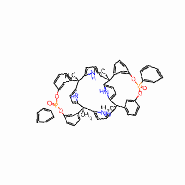 C[C@]12c3cccc(c3)OP(=O)(c3ccccc3)Oc3cccc(c3)[C@](C)(c3ccc1[nH]3)c1ccc([nH]1)[C@@]1(C)c3cccc(c3)O[P@](=O)(c3ccccc3)Oc3cccc(c3)[C@@](C)(c3ccc2[nH]3)c2ccc1[nH]2